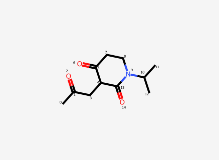 CC(=O)CC1C(=O)CCN(C(C)C)C1=O